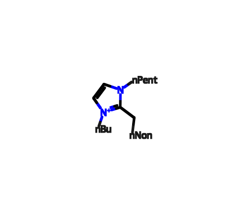 CCCCCCCCCCc1n(CCCCC)cc[n+]1CCCC